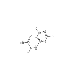 Cc1cc(C)cc(NC(C)C(=O)O)c1